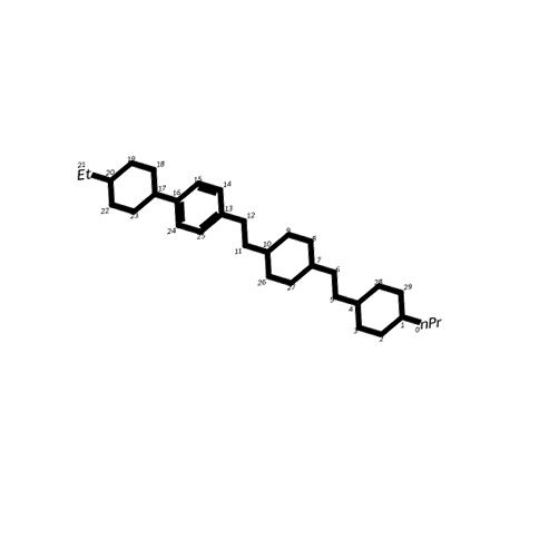 CCCC1CCC(CCC2CCC(CCc3ccc(C4CCC(CC)CC4)cc3)CC2)CC1